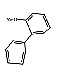 COc1cc[c]cc1-c1ccccc1